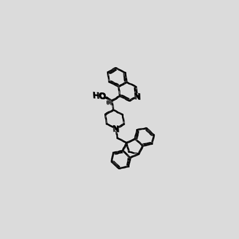 O[C@@H](c1cncc2ccccc12)C1CCN(CC23CC(c4ccccc42)c2ccccc23)CC1